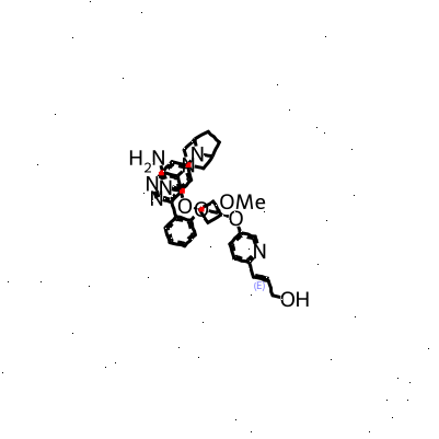 COCOc1ccccc1-c1cc(N2CC3CCC(C2)N3c2ccnc(O[C@H]3C[C@H](Oc4ccc(/C=C/CO)nc4)C3)c2)c(N)nn1